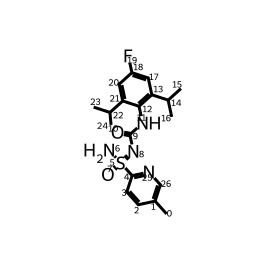 Cc1ccc(S(N)(=O)=NC(=O)Nc2c(C(C)C)cc(F)cc2C(C)C)nc1